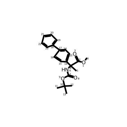 COC(=O)C(C)(NC(=O)OC(C)(C)C)c1ccc(-c2ccccc2)cc1